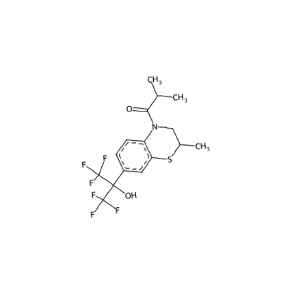 CC1CN(C(=O)C(C)C)c2ccc(C(O)(C(F)(F)F)C(F)(F)F)cc2S1